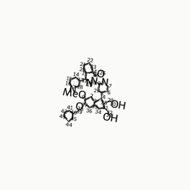 COc1cc2c(-c3ccnc(-n4nc(-c5cccnc5)c5ccccc5c4=O)c3)c(CO)c(CO)cc2cc1OCc1ccccc1